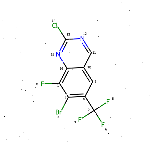 Fc1c(Br)c(C(F)(F)F)cc2cnc(Cl)nc12